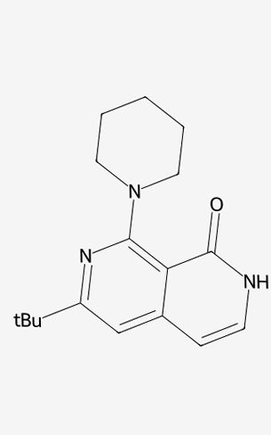 CC(C)(C)c1cc2cc[nH]c(=O)c2c(N2CCCCC2)n1